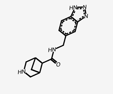 O=C(NCc1ccc2[nH]nnc2c1)C1C2CNCC1C2